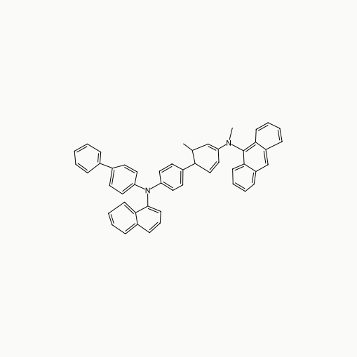 CC1C=C(N(C)c2c3ccccc3cc3ccccc23)C=CC1c1ccc(N(c2ccc(-c3ccccc3)cc2)c2cccc3ccccc23)cc1